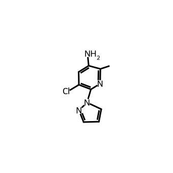 Cc1nc(-n2cccn2)c(Cl)cc1N